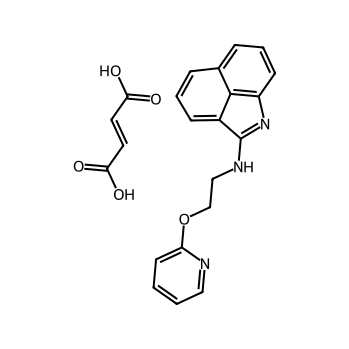 O=C(O)C=CC(=O)O.c1ccc(OCCNC2=Nc3cccc4cccc2c34)nc1